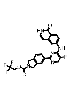 O=C(OCC(F)(F)F)N1Cc2ccc(-c3ncc(F)c(Nc4ccc5c(=O)[nH]ccc5c4)n3)cc2C1